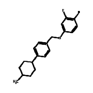 CC1CCC(c2ccc(COc3ccc(F)c(F)c3)cc2)CC1